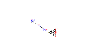 O=C(CCCC[C@@H]1SC[C@@H]2NC(=O)N[C@@H]21)NCCCCCNC(=O)CSCc1ccc(-c2c3ccc(=O)cc-3oc3cc(O)ccc23)c(C(=O)O)c1